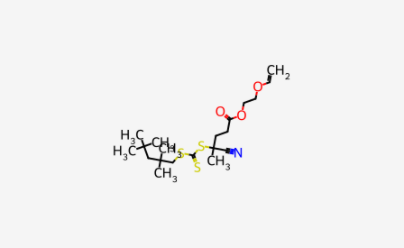 C=COCCOC(=O)CCC(C)(C#N)SC(=S)SCC(C)(C)CC(C)(C)C